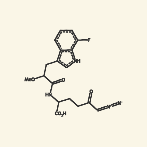 COC(Cc1c[nH]c2c(F)cccc12)C(=O)NC(CCC(=O)C=[N+]=[N-])C(=O)O